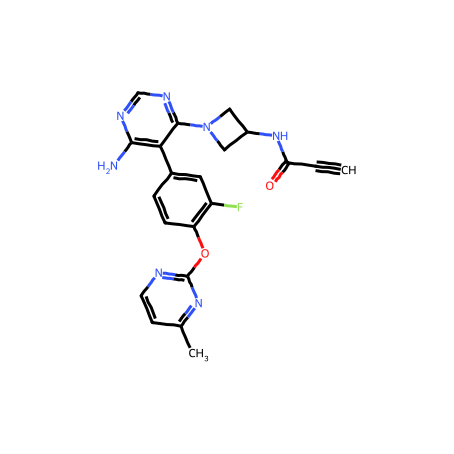 C#CC(=O)NC1CN(c2ncnc(N)c2-c2ccc(Oc3nccc(C)n3)c(F)c2)C1